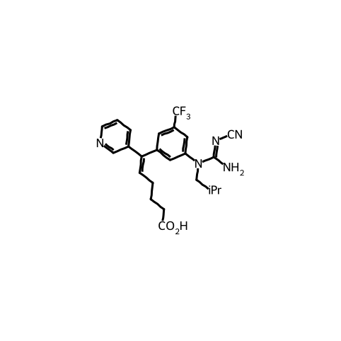 CC(C)CN(C(N)=NC#N)c1cc(/C(=C\CCCC(=O)O)c2cccnc2)cc(C(F)(F)F)c1